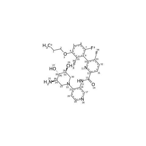 CCCOc1ccc(F)c(-c2nc(C(=O)Nc3cnccc3N3C[C@@H](N)[C@H](O)[C@@H](C)C3)ccc2F)c1F